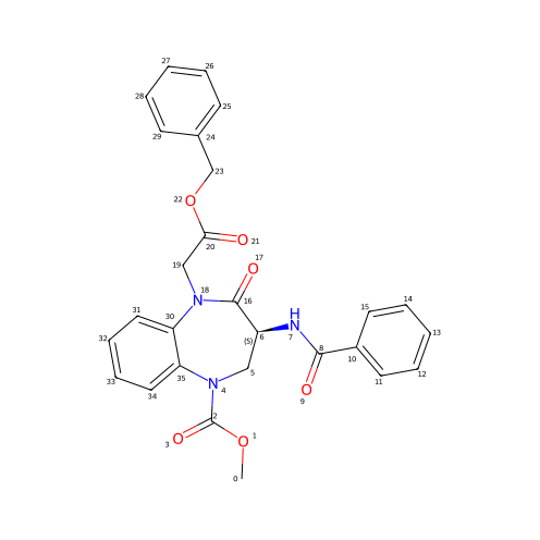 COC(=O)N1C[C@H](NC(=O)c2ccccc2)C(=O)N(CC(=O)OCc2ccccc2)c2ccccc21